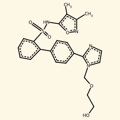 Cc1noc(NS(=O)(=O)c2ccccc2-c2ccc(-c3nccn3COCCO)cc2)c1C